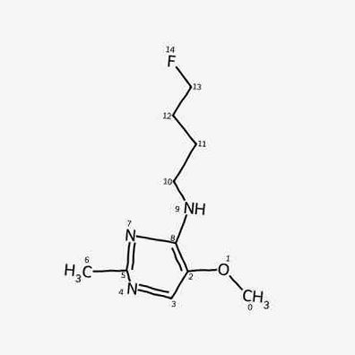 COc1cnc(C)nc1NCCCCF